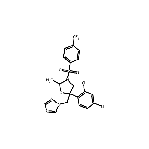 CC1OC(Cn2cncn2)(c2ccc(Cl)cc2Cl)CN1S(=O)(=O)c1ccc(C(F)(F)F)cc1